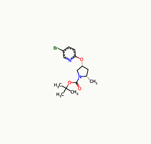 C[C@H]1C[C@@H](Oc2ccc(Br)cn2)CN1C(=O)OC(C)(C)C